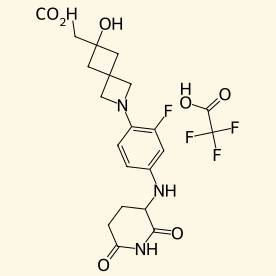 O=C(O)C(F)(F)F.O=C(O)CC1(O)CC2(CN(c3ccc(NC4CCC(=O)NC4=O)cc3F)C2)C1